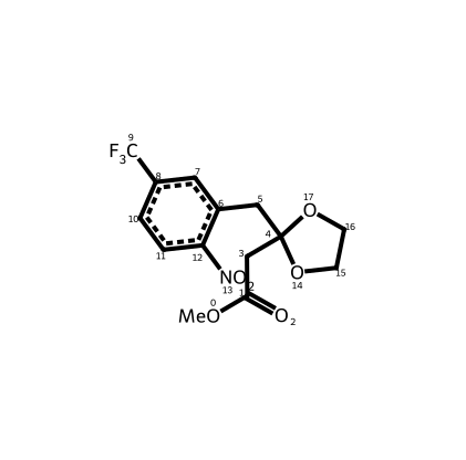 COC(=O)CC1(Cc2cc(C(F)(F)F)ccc2[N+](=O)[O-])OCCO1